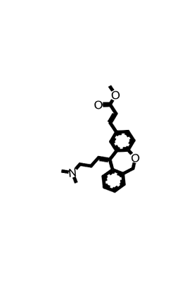 COC(=O)/C=C/c1ccc2c(c1)/C(=C/CCN(C)C)c1ccccc1CO2